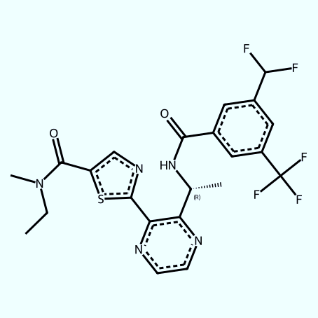 CCN(C)C(=O)c1cnc(-c2nccnc2[C@@H](C)NC(=O)c2cc(C(F)F)cc(C(F)(F)F)c2)s1